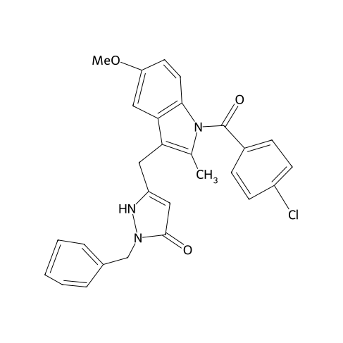 COc1ccc2c(c1)c(Cc1cc(=O)n(Cc3ccccc3)[nH]1)c(C)n2C(=O)c1ccc(Cl)cc1